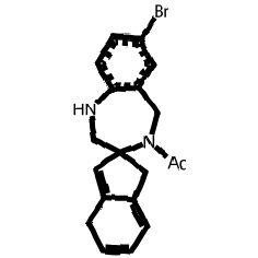 CC(=O)N1Cc2cc(Br)ccc2NCC12C=C1CC=CC=C1C2